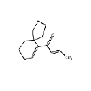 CC=CC(=O)C1=CCCCC12CCCC2